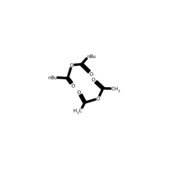 CC(=O)OC(C)=O.CCCCC(=O)OC(=O)CCCC